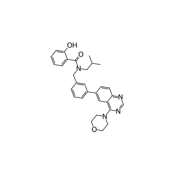 CC(C)CN(Cc1cccc(-c2ccc3ncnc(N4CCOCC4)c3c2)c1)C(=O)c1ccccc1O